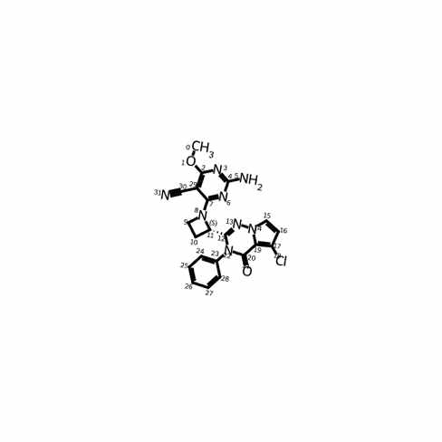 COc1nc(N)nc(N2CC[C@H]2c2nn3ccc(Cl)c3c(=O)n2-c2ccccc2)c1C#N